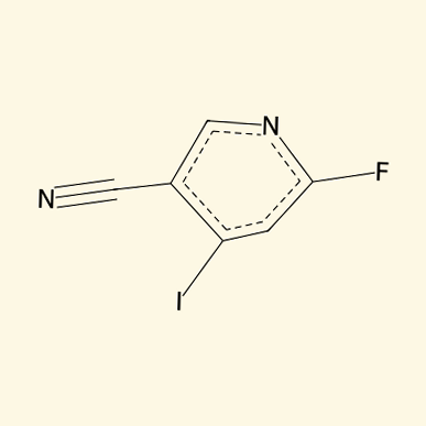 N#Cc1cnc(F)cc1I